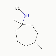 CCNC1(C)CCCC(C)CC1